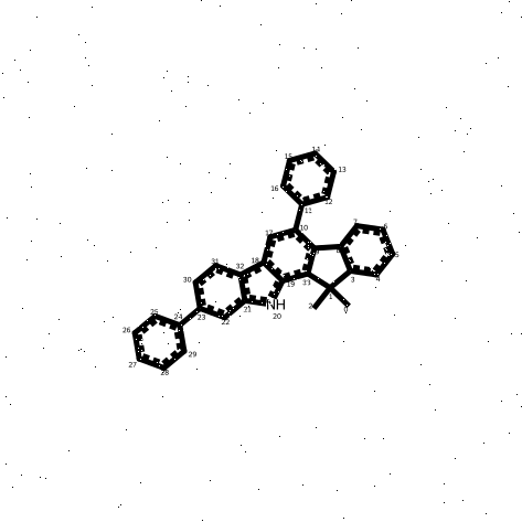 CC1(C)c2ccccc2-c2c(-c3ccccc3)cc3c([nH]c4cc(-c5ccccc5)ccc43)c21